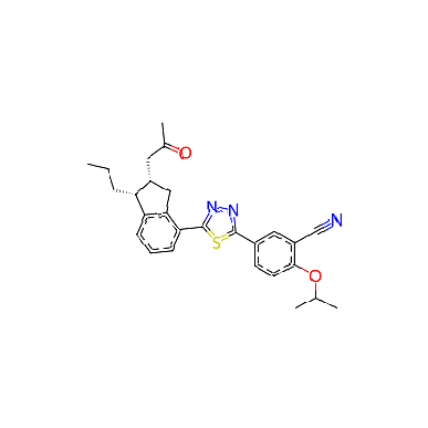 CCC[C@H]1c2cccc(-c3nnc(-c4ccc(OC(C)C)c(C#N)c4)s3)c2C[C@H]1CC(C)=O